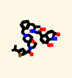 CC(Cc1cccc(CN2CCC3(CC2)CN(C(=O)c2csc(C(C)C)c2)CCO3)c1)NC[C@H](O)c1ccc(O)c2[nH]c(=O)ccc12